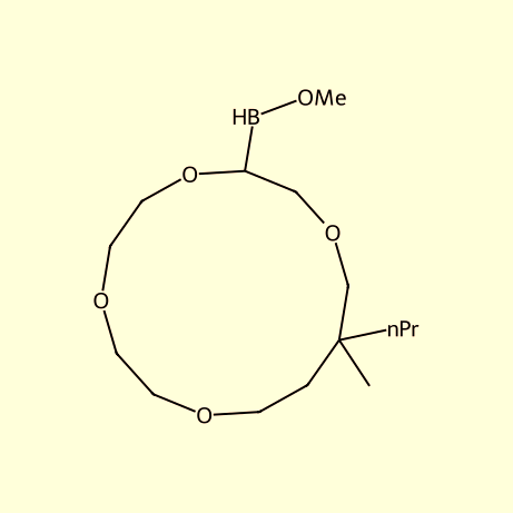 CCCC1(C)CCOCCOCCOC(BOC)COC1